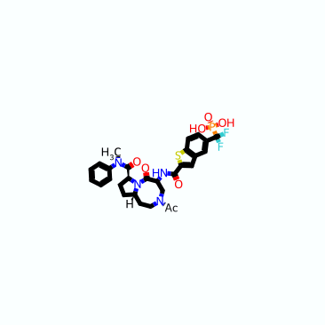 CC(=O)N1CC[C@H]2CC[C@@H](C(=O)N(C)c3ccccc3)N2C(=O)C(NC(=O)c2cc3cc(C(F)(F)P(=O)(O)O)ccc3s2)C1